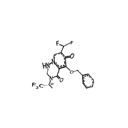 C[C@@H](N1CNn2cc(C(F)F)c(=O)c(OCc3ccccc3)c2C1=O)C(F)(F)F